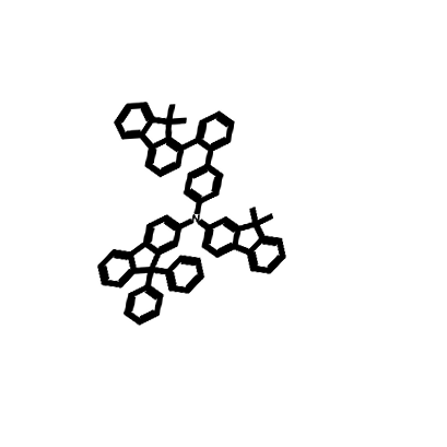 CC1(C)c2ccccc2-c2ccc(N(c3ccc(-c4ccccc4-c4cccc5c4C(C)(C)c4ccccc4-5)cc3)c3ccc4c(c3)C(c3ccccc3)(c3ccccc3)c3ccccc3-4)cc21